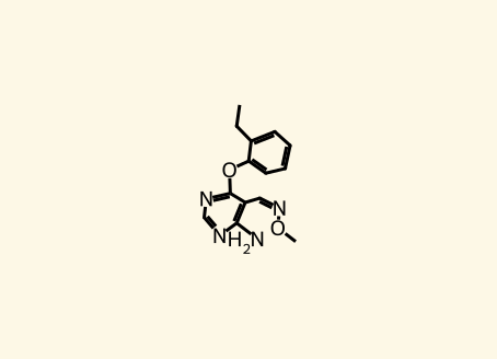 CCc1ccccc1Oc1ncnc(N)c1/C=N\OC